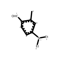 CCN(CC)c1ccc(C=O)c(C)c1